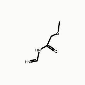 CSCC(=O)NC=N